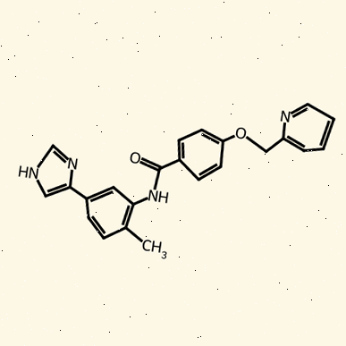 Cc1ccc(-c2c[nH]cn2)cc1NC(=O)c1ccc(OCc2ccccn2)cc1